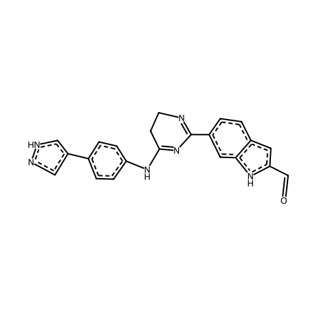 O=Cc1cc2ccc(C3=NCCC(Nc4ccc(-c5cn[nH]c5)cc4)=N3)cc2[nH]1